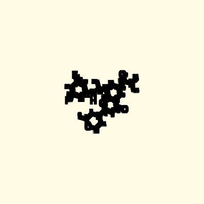 CC1CN(c2cc(=O)c3cc(C(=O)N(C)C)cc(C(C)Nc4cc(F)cc(F)c4)c3o2)CCO1